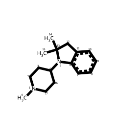 CN1CCC(N2c3ccccc3CC2(C)C)CC1